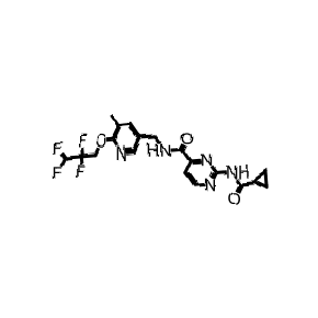 Cc1cc(CNC(=O)c2ccnc(NC(=O)C3CC3)n2)cnc1OCC(F)(F)C(F)F